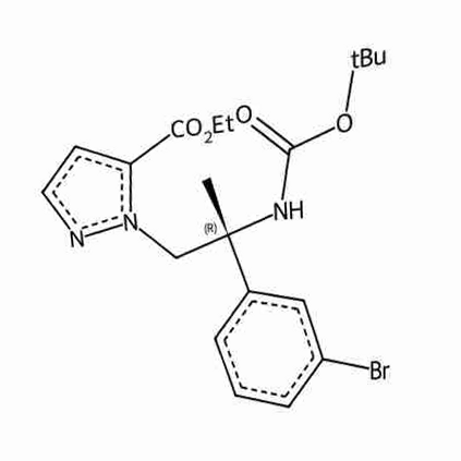 CCOC(=O)c1ccnn1C[C@](C)(NC(=O)OC(C)(C)C)c1cccc(Br)c1